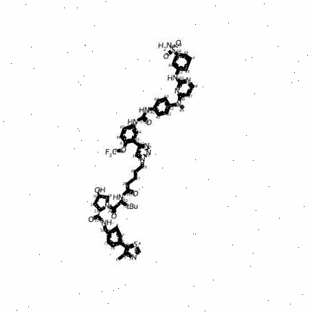 Cc1ncsc1-c1ccc(CNC(=O)[C@@H]2C[C@@H](O)CN2C(=O)C(NC(=O)CCCCn2cc(-c3cc(NC(=O)Nc4ccc(N(C)c5ccnc(Nc6cccc(S(N)(=O)=O)c6)n5)cc4)ccc3OC(F)(F)F)nn2)C(C)(C)C)cc1